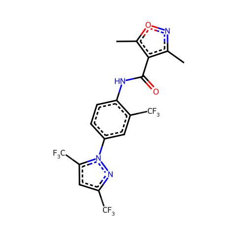 Cc1noc(C)c1C(=O)Nc1ccc(-n2nc(C(F)(F)F)cc2C(F)(F)F)cc1C(F)(F)F